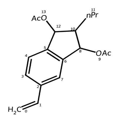 C=Cc1ccc2c(c1)C(OC(C)=O)C(CCC)C2OC(C)=O